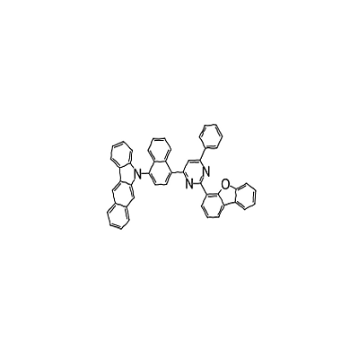 c1ccc(-c2cc(-c3ccc(-n4c5ccccc5c5cc6ccccc6cc54)c4ccccc34)nc(-c3cccc4c3oc3ccccc34)n2)cc1